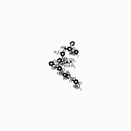 Cc1cccc(C)c1NC(=O)c1cc(S(N)(=O)=O)c(Cl)cc1O.Cc1cccc(Nc2ccncc2S(=O)(=O)NC(=O)NC(C)C)c1.NS(=O)(=O)c1cc(C(=O)NN2C[C@@H]3[C@H]4CC[C@H](C4)[C@@H]3C2)ccc1Cl.NS(=O)(=O)c1cc(C(=O)O)cc(N2CCCC2)c1Oc1ccccc1